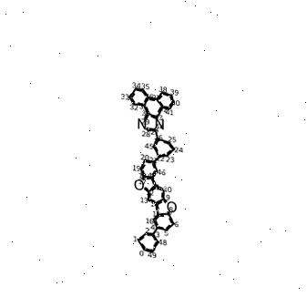 c1ccc(-c2ccc3oc4cc5c(cc4c3c2)oc2ccc(-c3cccc(-c4cnc6c7ccccc7c7ccccc7c6n4)c3)cc25)cc1